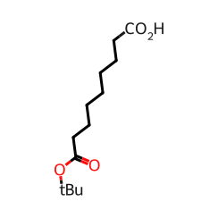 CC(C)(C)OC(=O)CCCCCCCC(=O)O